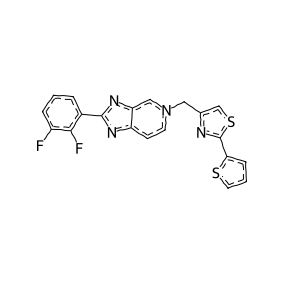 Fc1cccc(-c2nc3ccn(Cc4csc(-c5cccs5)n4)cc-3n2)c1F